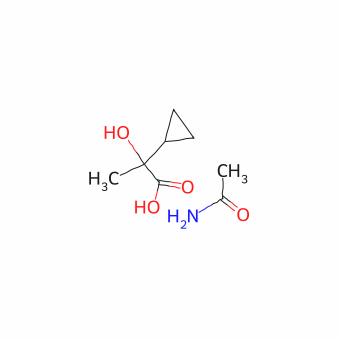 CC(N)=O.CC(O)(C(=O)O)C1CC1